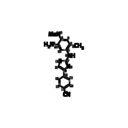 CNc1cc(C)c(Nc2nc(-c3ccc(C#N)cc3)cs2)cc1N